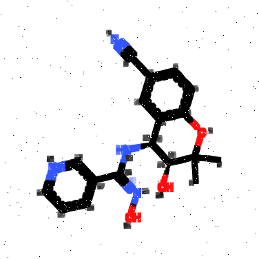 CC1(C)Oc2ccc(C#N)cc2[C@H](N/C(=N/O)c2cccnc2)[C@H]1O